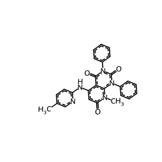 Cc1ccc(Nc2cc(=O)n(C)c3c2c(=O)n(-c2ccccc2)c(=O)n3-c2ccccc2)nc1